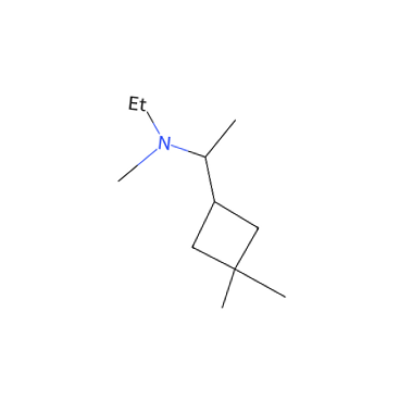 CCN(C)C(C)C1CC(C)(C)C1